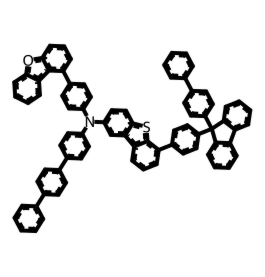 c1ccc(-c2ccc(-c3ccc(N(c4ccc(-c5cccc6oc7ccccc7c56)cc4)c4ccc5sc6c(-c7ccc(C8(c9ccc(-c%10ccccc%10)cc9)c9ccccc9-c9ccccc98)cc7)cccc6c5c4)cc3)cc2)cc1